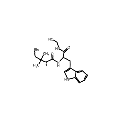 CC(C)(C)CC(C)(C)NC(=O)NC(Cc1c[nH]c2ccccc12)C(=O)NCC#N